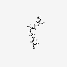 CCOC(C)(CC)CCCC(CC)C/C=C/C(C)=C/C(C)=O